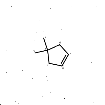 CC1(C)C[C]=CC1